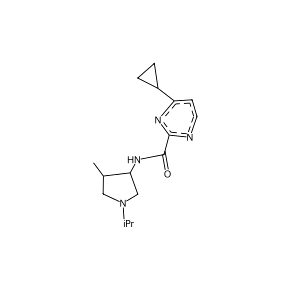 CC1CN(C(C)C)CC1NC(=O)c1nccc(C2CC2)n1